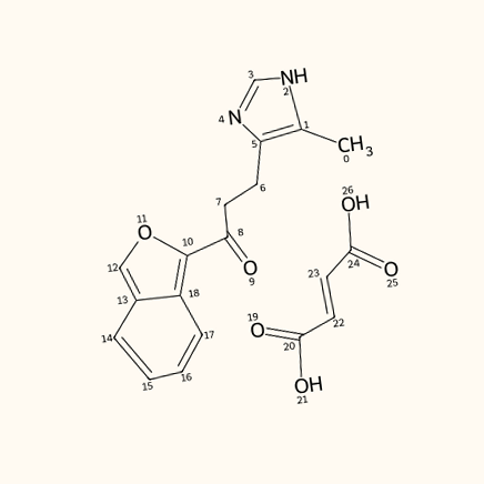 Cc1[nH]cnc1CCC(=O)c1occ2ccccc12.O=C(O)C=CC(=O)O